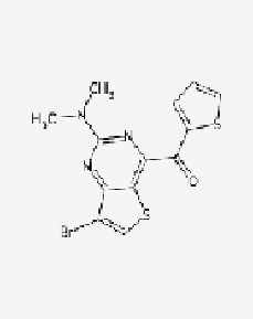 CN(C)c1nc(C(=O)c2cccs2)c2scc(Br)c2n1